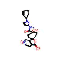 O=C1O[C@]2(CC[C@](O)(C(=O)Nc3ccn(-c4ccccc4)n3)CC2)c2c[n+]([O-])ccc21